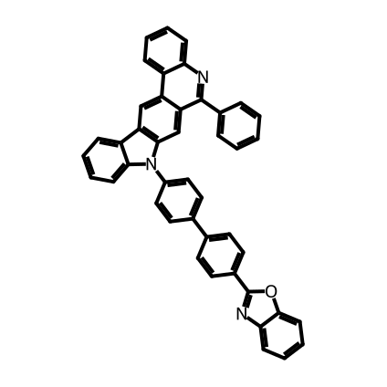 c1ccc(-c2nc3ccccc3c3cc4c5ccccc5n(-c5ccc(-c6ccc(-c7nc8ccccc8o7)cc6)cc5)c4cc23)cc1